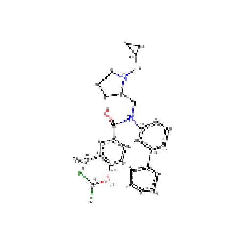 COc1cc(C(=O)N(CC2CCCN2CC2CC2)c2cccc(-c3ccccc3)c2)ccc1OC(F)F